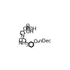 CCCCCCCCCCCOc1cccc(CCC(=O)N2CCC(OP(=O)(O)O)C2)c1.N